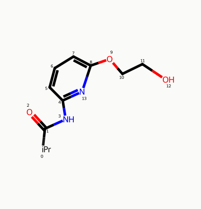 CC(C)C(=O)Nc1cccc(OCCO)n1